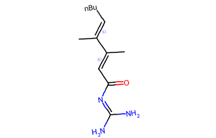 CCCC/C=C(C)/C(C)=C/C(=O)N=C(N)N